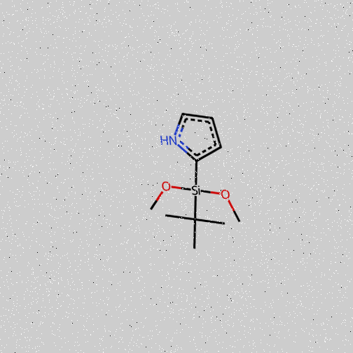 CO[Si](OC)(c1ccc[nH]1)C(C)(C)C